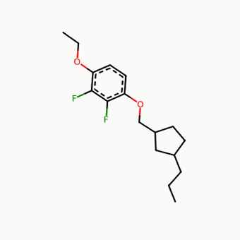 CCCC1CCC(COc2ccc(OCC)c(F)c2F)C1